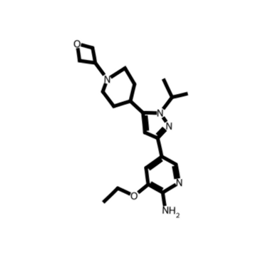 CCOc1cc(-c2cc(C3CCN(C4COC4)CC3)n(C(C)C)n2)cnc1N